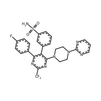 NS(=O)(=O)c1cccc(-c2c(-c3ccc(F)cc3)nc(C(F)(F)F)nc2N2CCN(c3ncccn3)CC2)c1